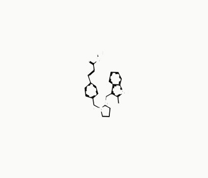 Cc1[nH]c2ccccc2c1C[C@H]1CCCN1[C@H](C)c1ccc(C=CC(=O)NO)cc1